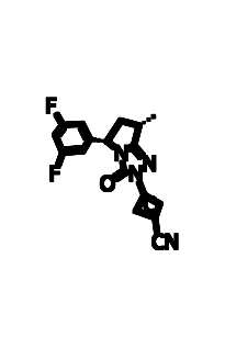 C[C@H]1C[C@@H](c2cc(F)cc(F)c2)n2c1nn(C13CC(C#N)(C1)C3)c2=O